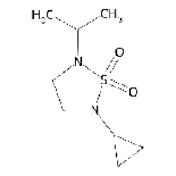 CC(C)N1CCN(C2CC2)S1(=O)=O